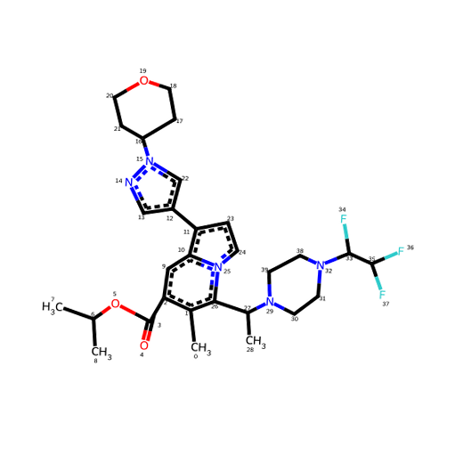 Cc1c(C(=O)OC(C)C)cc2c(-c3cnn(C4CCOCC4)c3)ccn2c1C(C)N1CCN(C(F)C(F)F)CC1